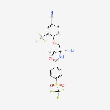 CC(C#N)(COc1ccc(C#N)cc1C(F)(F)F)NC(=O)c1ccc(S(=O)(=O)C(F)(F)F)cc1